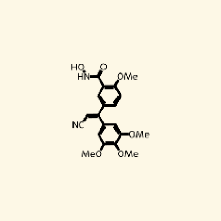 COc1ccc(C(=CC#N)c2cc(OC)c(OC)c(OC)c2)cc1C(=O)NO